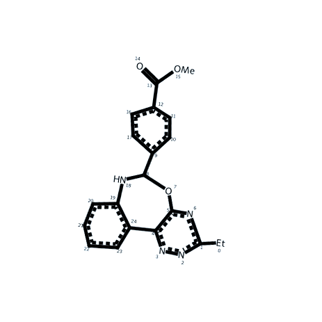 CCc1nnc2c(n1)OC(c1ccc(C(=O)OC)cc1)Nc1ccccc1-2